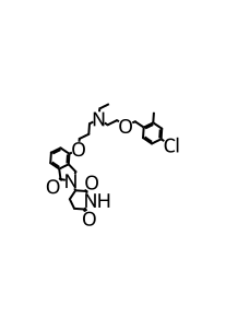 CCN(CCCOc1cccc2c1CN(C1CCC(=O)NC1=O)C2=O)CCOCc1ccc(Cl)cc1C